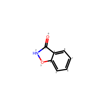 O=c1[nH]oc2c[c]ccc12